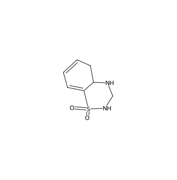 O=S1(=O)NCNC2CC=CC=C21